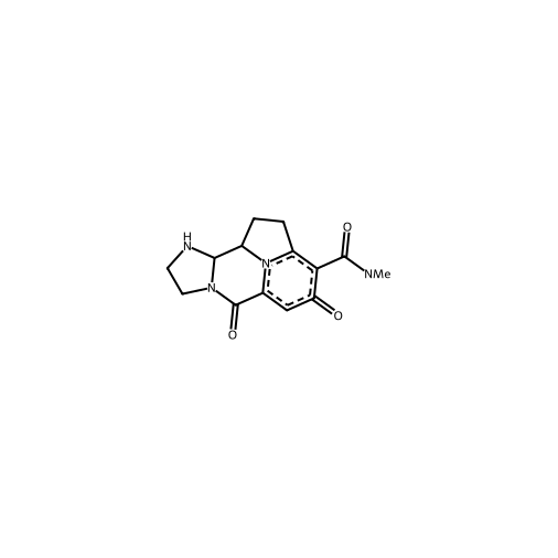 CNC(=O)c1c2n3c(cc1=O)C(=O)N1CCNC1C3CC2